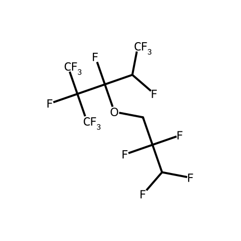 FC(F)C(F)(F)COC(F)(C(F)C(F)(F)F)C(F)(C(F)(F)F)C(F)(F)F